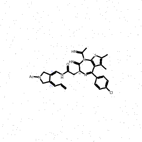 C=C/C=C1/CN(C(C)=O)C/C1=C/NC(=O)C[C@@H]1N=C(c2ccc(Cl)cc2)c2c(sc(C)c2C)N(C(C)=N)C1=N